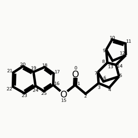 O=C(CC1CC2CC1C1C3C=CC(C3)C21)Oc1ccc2ccccc2c1